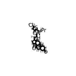 CC(C)[C@H](NC(=O)C[C@@H](C)C1CC[C@H]2C3C(=O)CC4CC(=O)CCC4(C)[C@H]3CCC12C)c1ccc(Cl)s1